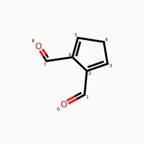 O=CC1=CCC=C1C=O